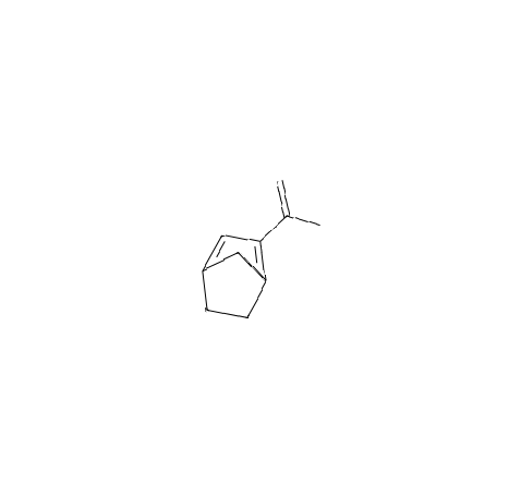 C=C(C)C1=C2CCC(=C1)C2